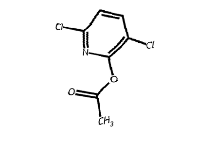 CC(=O)Oc1nc(Cl)ccc1Cl